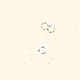 CC(CNc1ccnc2cc(Cl)ccc12)Nc1nc(N2CCOCC2)nc(N2CCOCC2)n1